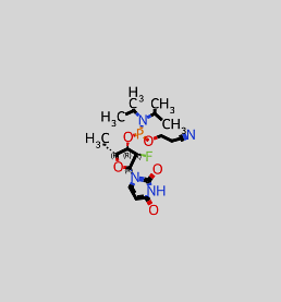 CC[C@H]1O[C@@H](n2ccc(=O)[nH]c2=O)[C@H](F)[C@@H]1OP(OCCC#N)N(C(C)C)C(C)C